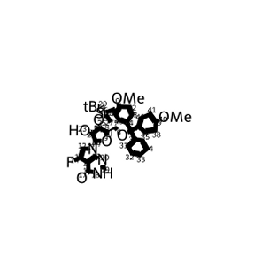 COc1ccc(C(OC[C@H]2O[C@@H](n3cc(F)c4c(=O)[nH]cnc43)[C@H](O)[C@@H]2O[Si](C)(C)C(C)(C)C)(c2ccccc2)c2ccc(OC)cc2)cc1